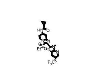 CCS(=O)(=O)c1c(-c2nc3cc(SC(F)(F)F)cnc3n2C)nc2cc(NC(=O)C3CC3)ccn12